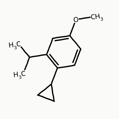 COc1ccc(C2CC2)c([C](C)C)c1